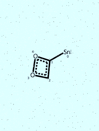 [Sn][c]1coo1